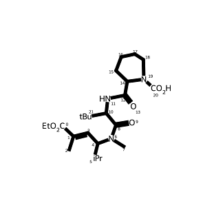 CCOC(=O)C(C)=CC(C(C)C)N(C)C(=O)C(NC(=O)C1CCCCN1C(=O)O)C(C)(C)C